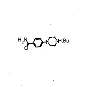 CC(C)(C)N1CCN(c2ccc(C(N)=O)cc2)CC1